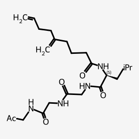 C=CCCC(=C)CCCC(=O)N[C@@H](CC(C)C)C(=O)NCC(=O)NCC(=O)NCC(C)=O